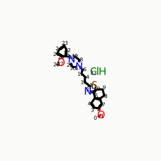 COc1ccc2c(c1)CCc1sc(CCCCN3CCN(c4ccccc4OC)CC3)nc1-2.Cl